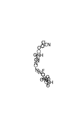 N#Cc1ccc(OC2CCC(NC(=O)c3ccc(N4CCC(CN5CCN(c6cc7c(cc6F)C(=O)N(N6CCC(=O)NC6=O)C7=O)CC5)CC4)nn3)CC2)cc1Cl